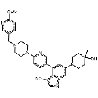 COc1ccc(CN2CCN(c3ccc(-c4cc(N5CCC(C)(O)CC5)cn5ncc(C#N)c45)cn3)CC2)cn1